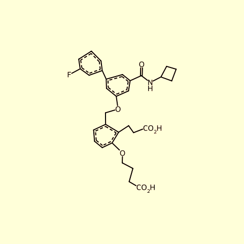 O=C(O)CCCOc1cccc(COc2cc(C(=O)NC3CCC3)cc(-c3cccc(F)c3)c2)c1CCC(=O)O